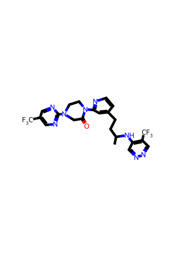 CC(CCc1ccnc(N2CCN(c3ncc(C(F)(F)F)cn3)CC2=O)c1)Nc1cnncc1C(F)(F)F